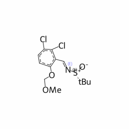 COCOc1ccc(Cl)c(Cl)c1/C=N/[S@+]([O-])C(C)(C)C